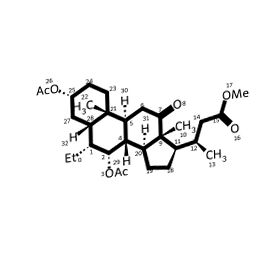 CC[C@H]1[C@@H](OC(C)=O)[C@@H]2[C@H](CC(=O)[C@]3(C)[C@@H]([C@H](C)CC(=O)OC)CC[C@@H]23)[C@@]2(C)CC[C@@H](OC(C)=O)C[C@@H]12